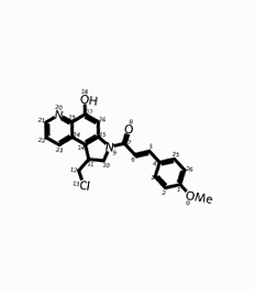 COc1ccc(/C=C/C(=O)N2CC(CCl)c3c2cc(O)c2ncccc32)cc1